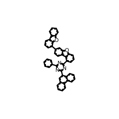 c1ccc(-c2nc(-c3cc4ccccc4c4ccccc34)nc(-c3cccc4oc5cc(-c6cccc7c6oc6ccccc67)ccc5c34)n2)cc1